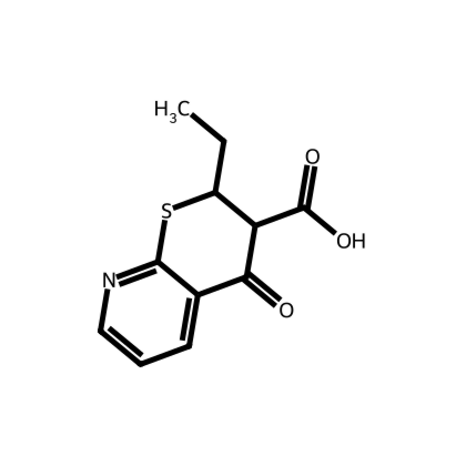 CCC1Sc2ncccc2C(=O)C1C(=O)O